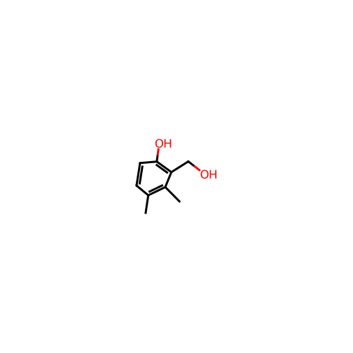 Cc1ccc(O)c(CO)c1C